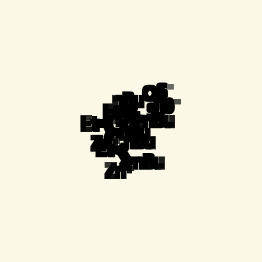 CCCC[CH]([Zn+])C(CC)CCCC.CCCC[CH]([Zn+])C(CC)CCCC.CCCC[CH]([Zn+])C(CC)CCCC.[O-]P([O-])(=S)[S-]